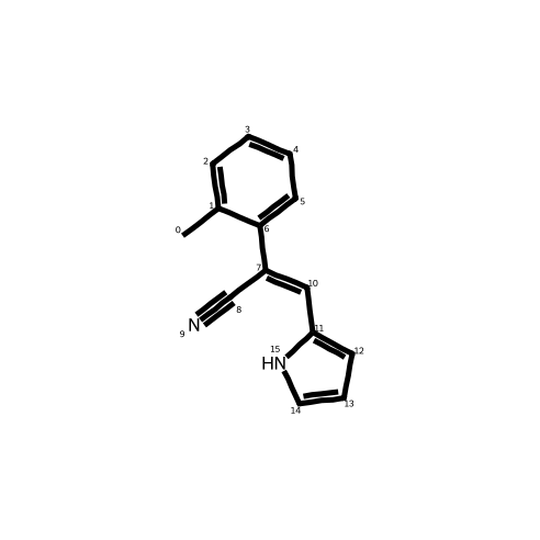 Cc1ccccc1C(C#N)=Cc1ccc[nH]1